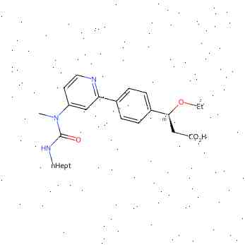 CCCCCCCNC(=O)N(C)c1ccnc(-c2ccc([C@H](CC(=O)O)OCC)cc2)c1